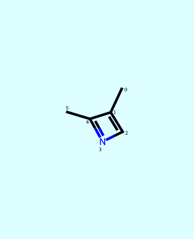 CC1=CN=C1C